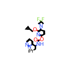 CC(C)CC(NC(=O)Oc1ccc(N2CC(F)(F)C2)c(OCC2CC2)n1)c1cccnn1